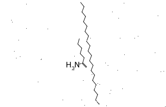 C=C(N)CCCCC.CCCCCCCCCCCCCCCCCCCCCC